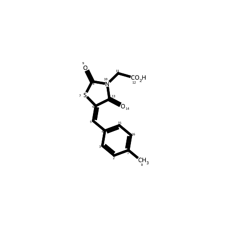 Cc1ccc(C=C2SC(=O)N(CC(=O)O)C2=O)cc1